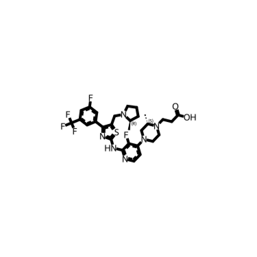 C[C@@H]1CCCN1Cc1sc(Nc2nccc(N3CCN(CCC(=O)O)[C@@H](C)C3)c2F)nc1-c1cc(F)cc(C(F)(F)F)c1